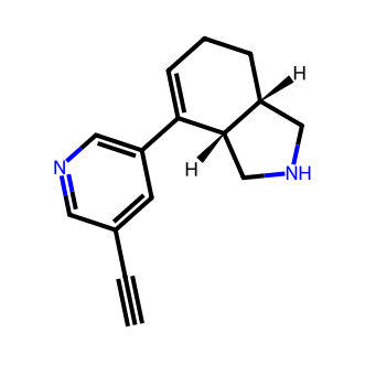 C#Cc1cncc(C2=CCC[C@@H]3CNC[C@H]23)c1